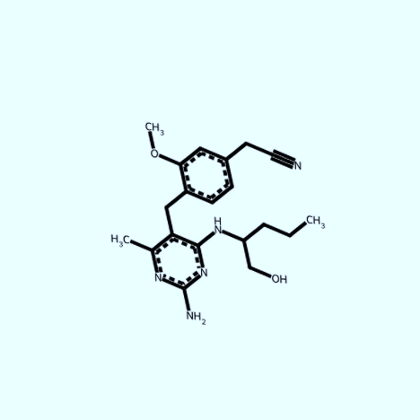 CCCC(CO)Nc1nc(N)nc(C)c1Cc1ccc(CC#N)cc1OC